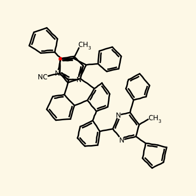 Cc1c(-c2ccccc2)nc(-c2ccccc2-c2cccc(-c3cccc(C#N)c3)c2-c2ccccc2-c2nc(-c3ccccc3)c(C)c(-c3ccccc3)n2)nc1-c1ccccc1